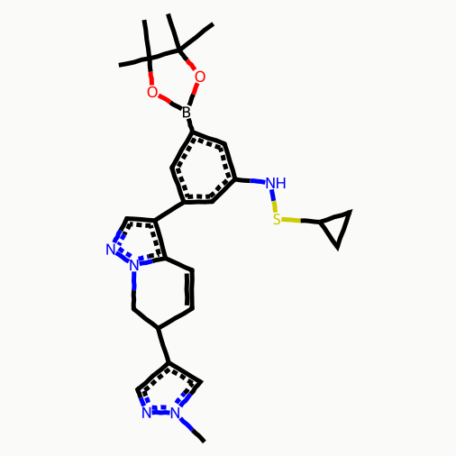 Cn1cc(C2C=Cc3c(-c4cc(NSC5CC5)cc(B5OC(C)(C)C(C)(C)O5)c4)cnn3C2)cn1